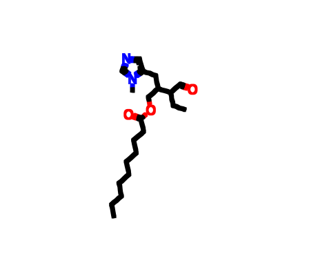 CCCCCCCCCC(=O)OCC(Cc1cncn1C)C(C=O)CC